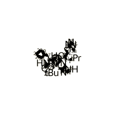 CC(C)C[C@H](NC(=O)[C@H](Cc1c[nH]cn1)NC(=O)[C@H](Cc1ccccc1)NC(=O)OC(C)(C)C)C(O)CSc1nnnn1C